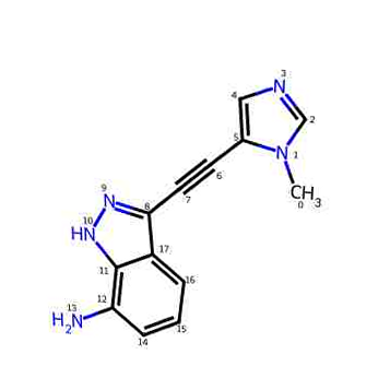 Cn1cncc1C#Cc1n[nH]c2c(N)cccc12